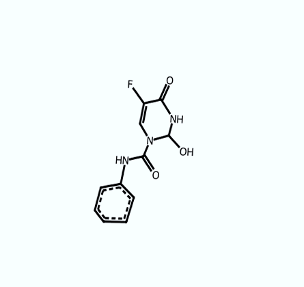 O=C1NC(O)N(C(=O)Nc2ccccc2)C=C1F